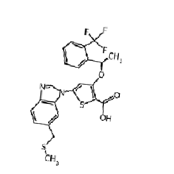 CSCc1ccc2ncn(-c3cc(O[C@H](C)c4ccccc4C(F)(F)F)c(C(=O)O)s3)c2c1